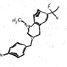 CN1CN(Cc2ccc(Br)cc2)Cc2cc(C(F)(F)F)ccc21